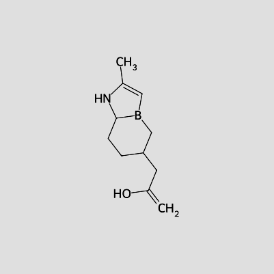 C=C(O)CC1CCC2NC(C)=CB2C1